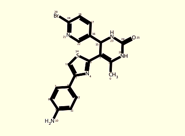 CC1=C(c2nc(-c3ccc(N)cc3)cs2)C(c2ccc(Br)nc2)NC(=O)N1